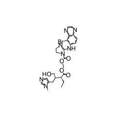 CC[C@H](C(=O)OCOC(=O)N1CCN=C1Nc1ccc2nccnc2c1Br)C(CO)Cc1cncn1C